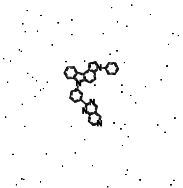 c1ccc(-n2ccc3c4c5ccccc5n(-c5cccc(-c6ncc7cnccc7n6)c5)c4ccc32)cc1